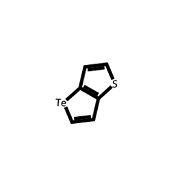 c1cc2[te]ccc2s1